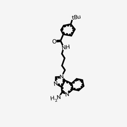 CC(C)(C)c1ccc(C(=O)NCCCCn2cnc3c(N)nc4ccccc4c32)cc1